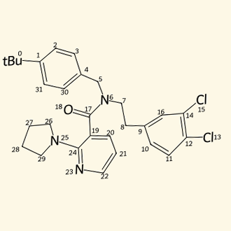 CC(C)(C)c1ccc(CN(CCc2ccc(Cl)c(Cl)c2)C(=O)c2cccnc2N2CCCC2)cc1